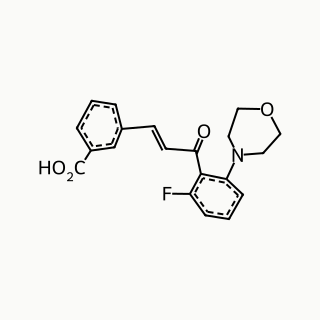 O=C(O)c1cccc(C=CC(=O)c2c(F)cccc2N2CCOCC2)c1